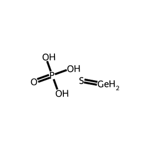 O=P(O)(O)O.[S]=[GeH2]